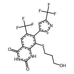 O=c1[nH]c(=O)c2cc(C(F)(F)F)c(-c3cc(C(F)(F)F)ns3)c(SCCCO)c2[nH]1